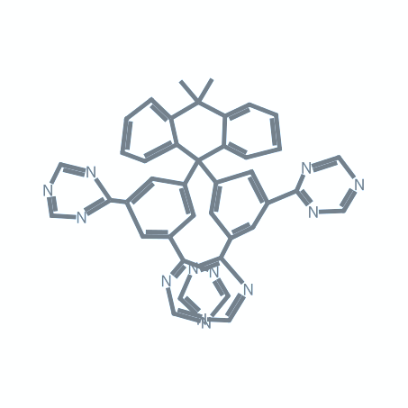 CC1(C)c2ccccc2C(c2cc(-c3ncncn3)cc(-c3ncncn3)c2)(c2cc(-c3ncncn3)cc(-c3ncncn3)c2)c2ccccc21